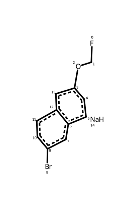 FCOc1ccc2cc(Br)ccc2c1.[NaH]